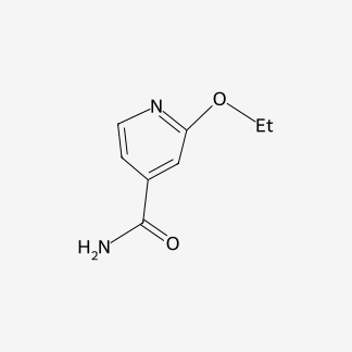 [CH2]COc1cc(C(N)=O)ccn1